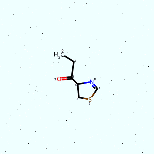 CCC(=O)C1CSC=N1